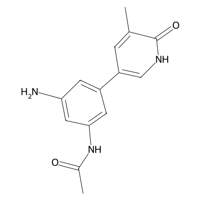 CC(=O)Nc1cc(N)cc(-c2c[nH]c(=O)c(C)c2)c1